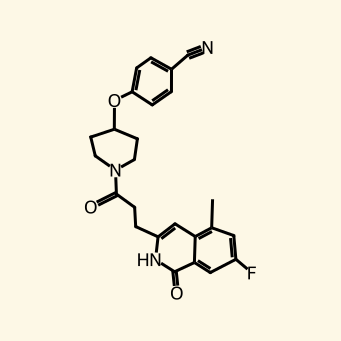 Cc1cc(F)cc2c(=O)[nH]c(CCC(=O)N3CCC(Oc4ccc(C#N)cc4)CC3)cc12